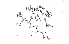 N=C=O.N=C=O.NCCCCN.NCCCC[C@H](N)C(=O)O